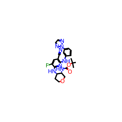 CC(C)(C)OC(=O)N[C@H]1COCC[C@H]1Nc1nc(Nc2cccc(-n3nccn3)c2)c(C#N)cc1F